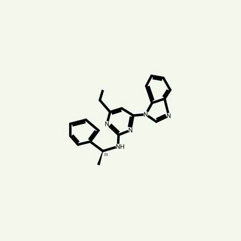 CCc1cc(-n2cnc3ccccc32)nc(N[C@@H](C)c2ccccc2)n1